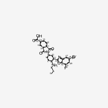 CCCNc1ccc(N2C(=O)c3ccc(C(=O)O)cc3C2=O)cc1-c1nc2cc(Br)cc(F)c2o1